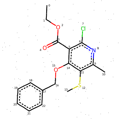 CCOC(=O)c1c(Cl)nc(C)c(SC)c1OCc1ccccc1